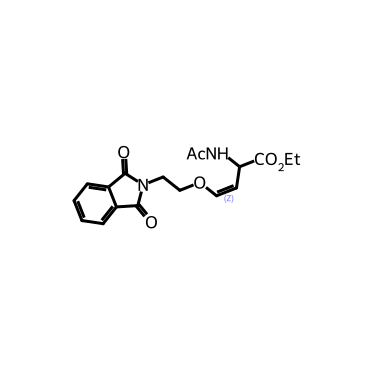 CCOC(=O)C(/C=C\OCCN1C(=O)c2ccccc2C1=O)NC(C)=O